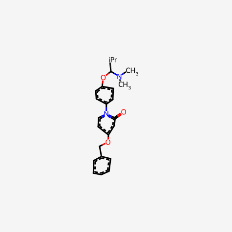 CC(C)C(Oc1ccc(-n2ccc(OCc3ccccc3)cc2=O)cc1)N(C)C